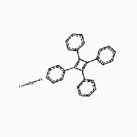 [Cl][Pd][Cl].c1ccc(C2=C(c3ccccc3)C(c3ccccc3)=C2c2ccccc2)cc1